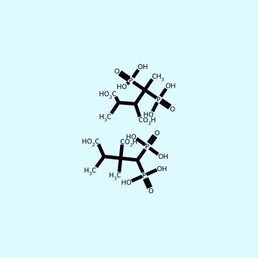 CC(C(=O)O)C(C(=O)O)C(C)(P(=O)(O)O)P(=O)(O)O.CC(C(=O)O)C(C)(C(=O)O)C(P(=O)(O)O)P(=O)(O)O